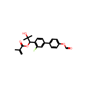 C=C(C)C(=O)OC(c1ccc(-c2ccc(OC=O)cc2)cc1F)C(C)(C)O